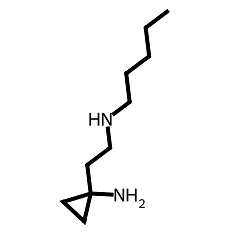 CCCCCNCCC1(N)CC1